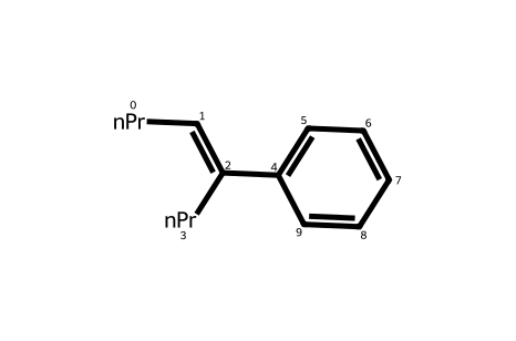 CCC/C=C(\CCC)c1ccccc1